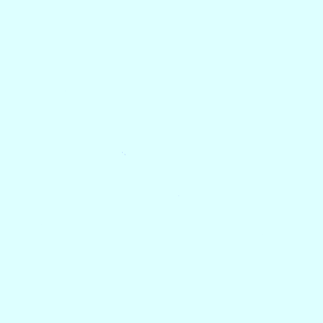 CC1(C)c2cc(C3CCCCC3)ccc2-c2ccc(N(C3=CCC(C4CCCCC4)C=C3)c3ccc4ccccc4c3)cc21